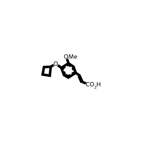 COc1cc(/C=C/C(=O)O)ccc1OC1CCC1